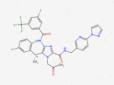 CC(=O)Cn1c(C(=O)NCc2ccc(-n3cccn3)nc2)nc(NC(=O)c2cc(F)cc(C(F)(F)F)c2)c1[C@H](C)c1cc(F)ccc1Cl